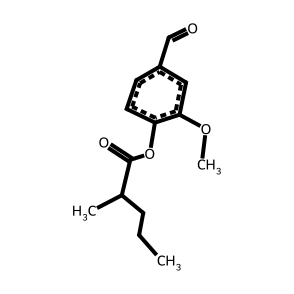 CCCC(C)C(=O)Oc1ccc(C=O)cc1OC